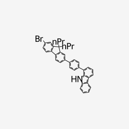 CCCC1(CCC)c2cc(Br)ccc2-c2ccc(-c3ccc(-c4cccc5c4[nH]c4ccccc45)cc3)cc21